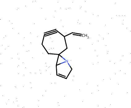 C=CC1C#CCCC2(C1)C1C=CCN12